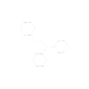 c1ccc([SiH](CCC2CCCCC2)c2ccccc2)cc1